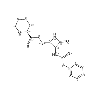 O=C(Cc1ccccc1)N[C@@H]1C(=O)N[C@@H]1SCC(=O)[C@@H]1CCCCO1